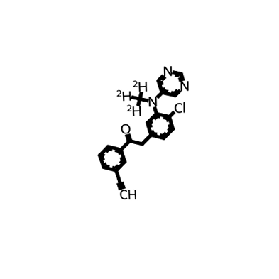 [2H]C([2H])([2H])N(c1cncnc1)c1cc(CC(=O)c2cccc(C#C)c2)ccc1Cl